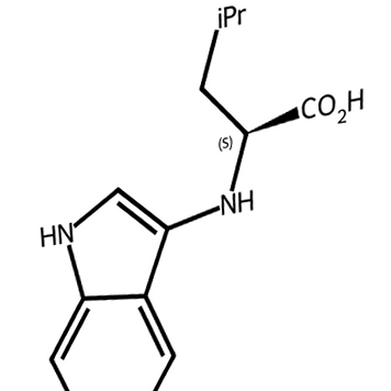 CC(C)C[C@H](Nc1c[nH]c2ccccc12)C(=O)O